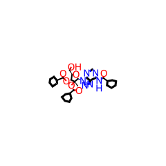 C[C@@]1(OC(=O)c2ccccc2)[C@H](OC(=O)c2ccccc2)[C@@H](CO)O[C@H]1n1nnc2c(NC(=O)c3ccccc3)ncnc21